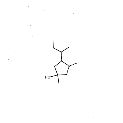 CCC(C)C1CC(C)(O)CN1C